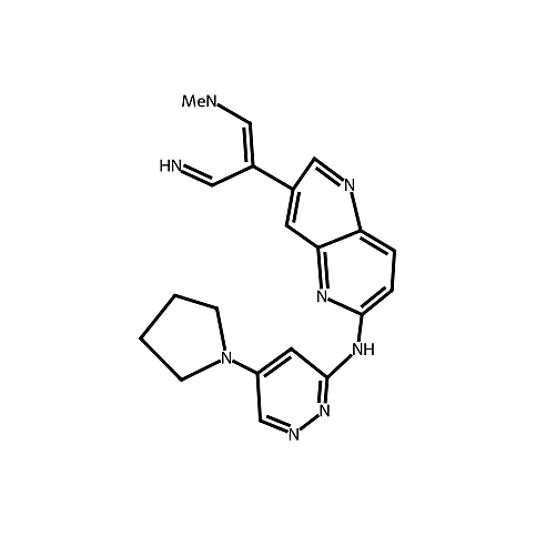 CN/C=C(\C=N)c1cnc2ccc(Nc3cc(N4CCCC4)cnn3)nc2c1